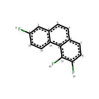 Fc1[c]c2ccc3c[c]c(F)c(F)c3c2cc1